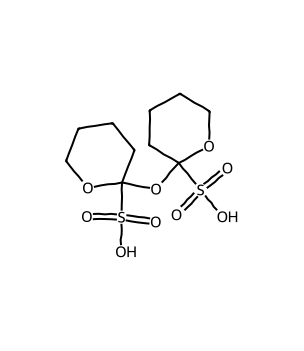 O=S(=O)(O)C1(OC2(S(=O)(=O)O)CCCCO2)CCCCO1